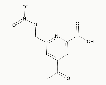 CC(=O)c1cc(CO[N+](=O)[O-])nc(C(=O)O)c1